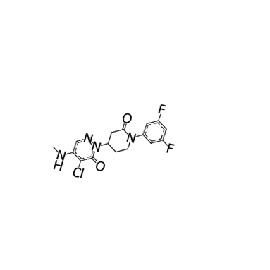 CNc1cnn(C2CCN(c3cc(F)cc(F)c3)C(=O)C2)c(=O)c1Cl